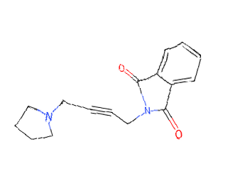 O=C1c2ccccc2C(=O)N1CC#CCN1CCCC1